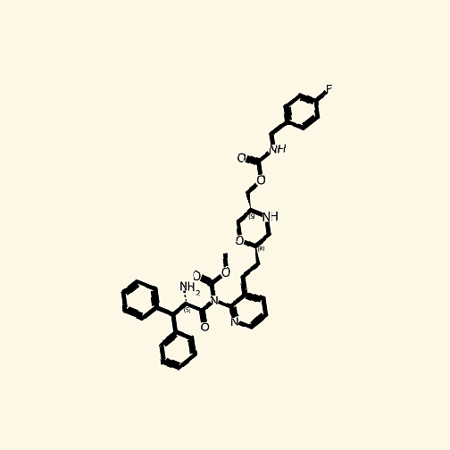 COC(=O)N(C(=O)[C@@H](N)C(c1ccccc1)c1ccccc1)c1ncccc1CC[C@@H]1CN[C@H](COC(=O)NCc2ccc(F)cc2)CO1